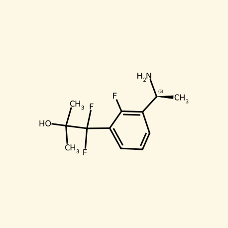 C[C@H](N)c1cccc(C(F)(F)C(C)(C)O)c1F